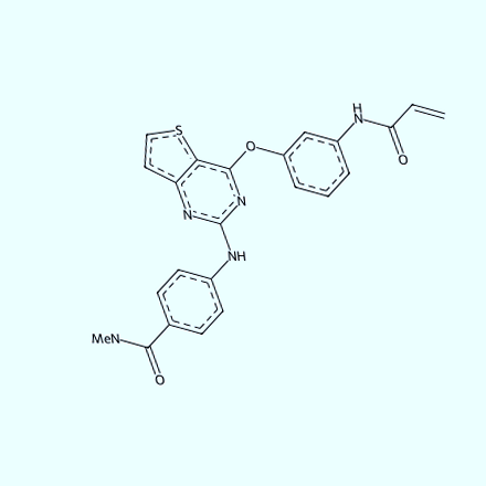 C=CC(=O)Nc1cccc(Oc2nc(Nc3ccc(C(=O)NC)cc3)nc3ccsc23)c1